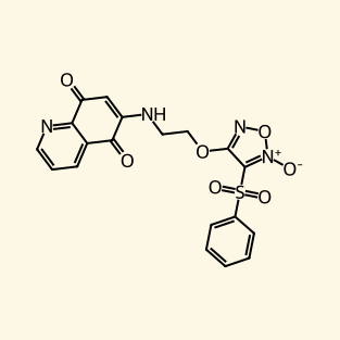 O=C1C(NCCOc2no[n+]([O-])c2S(=O)(=O)c2ccccc2)=CC(=O)c2ncccc21